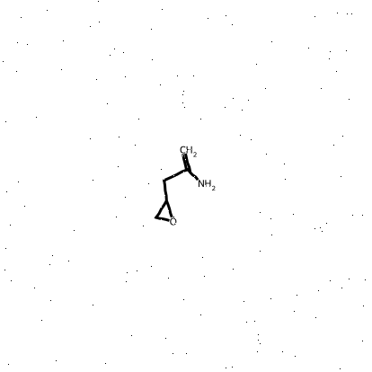 C=C(N)CC1CO1